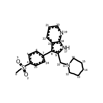 CS(=O)(=O)c1ccc(-c2c(CN3CCCCC3)[nH]c3ncccc23)cc1